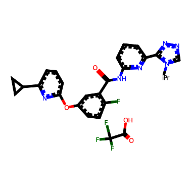 CC(C)n1cnnc1-c1cccc(NC(=O)c2cc(Oc3cccc(C4CC4)n3)ccc2F)n1.O=C(O)C(F)(F)F